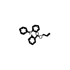 C=CCOC(=O)c1ccccc1P(c1ccccc1)c1ccccc1